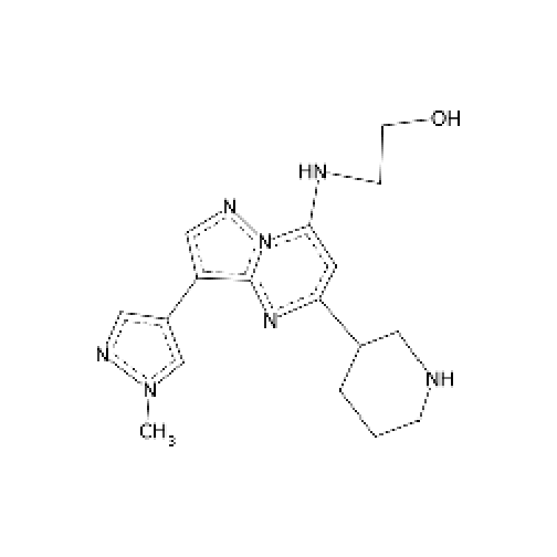 Cn1cc(-c2cnn3c(NCCO)cc(C4CCCNC4)nc23)cn1